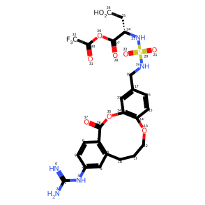 N=C(N)Nc1ccc2c(c1)CCCOc1ccc(CNS(=O)(=O)N[C@@H](CC(=O)O)C(=O)OC(=O)C(F)(F)F)cc1OC2=O